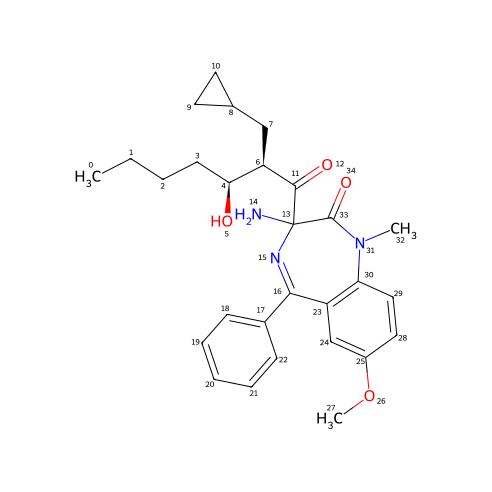 CCCC[C@H](O)[C@@H](CC1CC1)C(=O)C1(N)N=C(c2ccccc2)c2cc(OC)ccc2N(C)C1=O